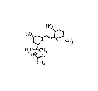 CC(=O)NC(C)(C)[C@H]1C[C@@H](O)C[C@@H](CO[C@@H]2O[C@@H](C)CC[C@@H]2O)O1